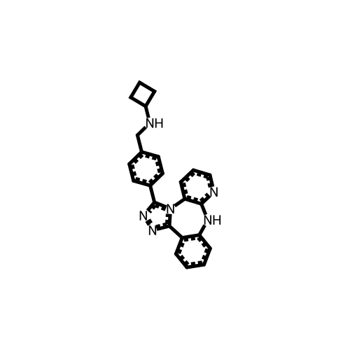 c1ccc2c(c1)Nc1ncccc1-n1c(-c3ccc(CNC4CCC4)cc3)nnc1-2